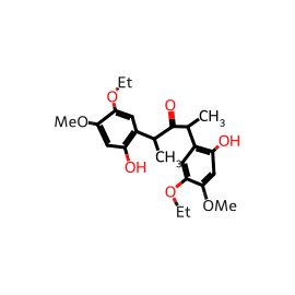 CCOc1cc(C(C)C(=O)C(C)c2cc(OCC)c(OC)cc2O)c(O)cc1OC